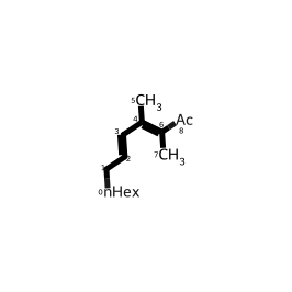 CCCCCCCC=CC(C)=C(C)C(C)=O